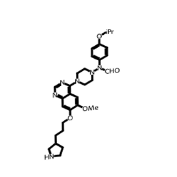 COc1cc2c(N3CCN(N(C=O)c4ccc(OC(C)C)cc4)CC3)ncnc2cc1OCCCC1CCNC1